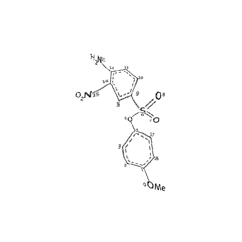 COc1ccc(OS(=O)(=O)c2ccc(N)c([N+](=O)[O-])c2)cc1